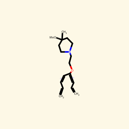 C=C/C=C\C(=C/C=C)OCCN1CCC(C)(OC)CC1